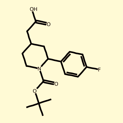 CC(C)(C)OC(=O)N1CCC(CC(=O)O)CC1c1ccc(F)cc1